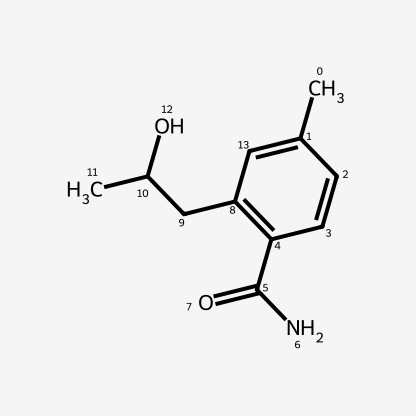 Cc1ccc(C(N)=O)c(CC(C)O)c1